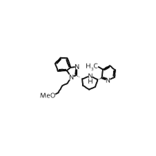 COCCCn1c([C@H]2CCC[C@@H](c3ncccc3C)N2)nc2ccccc21